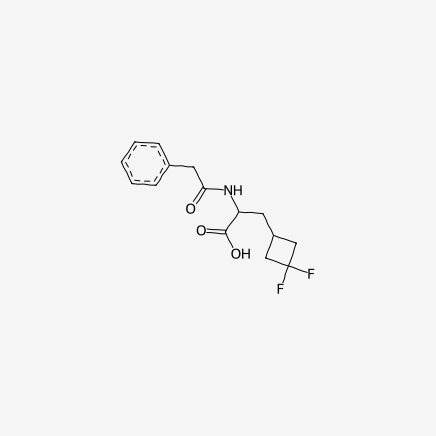 O=C(Cc1ccccc1)NC(CC1CC(F)(F)C1)C(=O)O